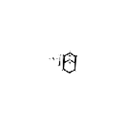 B1C2CCCC1CCC2.CCCCCC